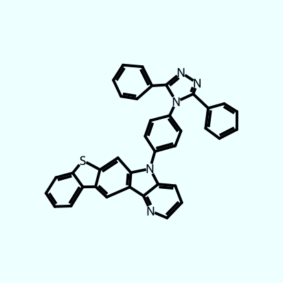 c1ccc(-c2nnc(-c3ccccc3)n2-c2ccc(-n3c4cc5sc6ccccc6c5cc4c4ncccc43)cc2)cc1